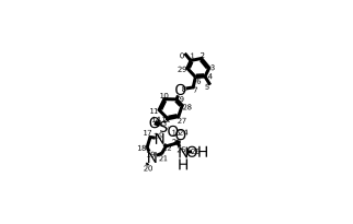 Cc1ccc(C)c(COc2ccc(S(=O)(=O)N3CCN(C)CC3C(=O)NO)cc2)c1